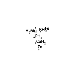 P.[CaH2].[Fe].[KH].[MgH2].[Zn]